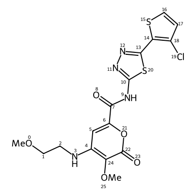 COCCNc1cc(C(=O)Nc2nnc(-c3sccc3Cl)s2)oc(=O)c1OC